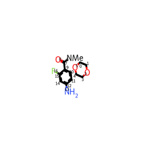 C1COCCO1.CNC(=O)c1ccc(N)cc1F